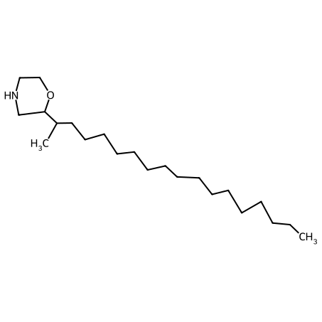 CCCCCCCCCCCCCCCCC(C)C1CNCCO1